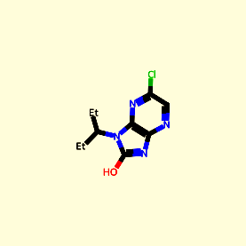 CCC(CC)n1c(O)nc2ncc(Cl)nc21